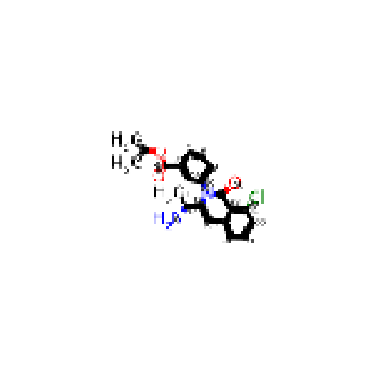 CC(C)OC(=O)c1cccc(-n2c([C@H](C)N)cc3cccc(Cl)c3c2=O)c1